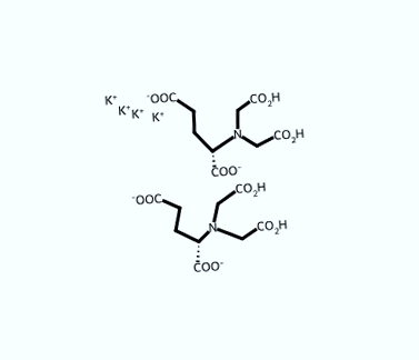 O=C([O-])CC[C@@H](C(=O)[O-])N(CC(=O)O)CC(=O)O.O=C([O-])CC[C@@H](C(=O)[O-])N(CC(=O)O)CC(=O)O.[K+].[K+].[K+].[K+]